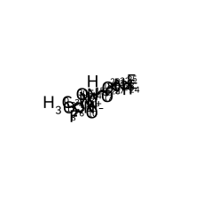 COc1cc2c(cc1F)[n+]([O-])nc(NCCC(=O)OC1=CN(CC(F)(F)F)CC1)[n+]2[O-]